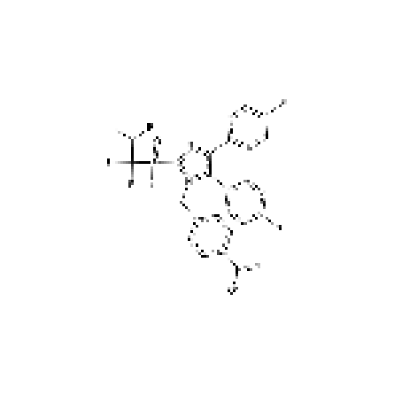 O=[N+]([O-])c1ccc(Cn2c(S(=O)(=O)C(F)(F)C(F)F)nc(-c3ccc(F)cc3)c2-c2ccc(F)cc2)cc1